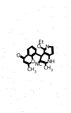 CCOc1nccc2c1C(c1cccc3c(=O)cc(C)oc13)C(C#N)=C(C)N2